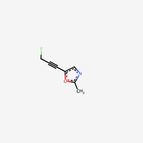 Cc1ncc(C#CCF)o1